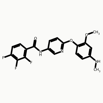 CNc1ccc(Oc2ccc(NC(=O)c3ccc(F)c(F)c3F)cn2)c(OC)c1